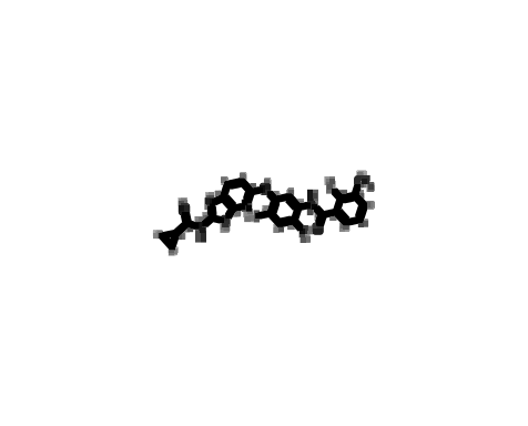 O=C(Nc1cc(Oc2ccc3nc(NC(=O)C4CC4)sc3n2)c(I)cc1F)c1cccc(C(F)(F)F)c1F